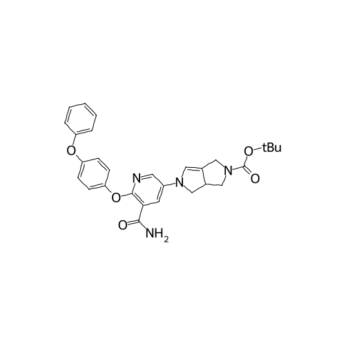 CC(C)(C)OC(=O)N1CC2=CN(c3cnc(Oc4ccc(Oc5ccccc5)cc4)c(C(N)=O)c3)CC2C1